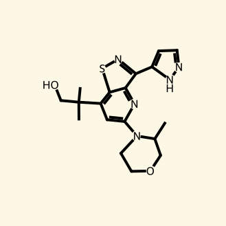 CC1COCCN1c1cc(C(C)(C)CO)c2snc(-c3ccn[nH]3)c2n1